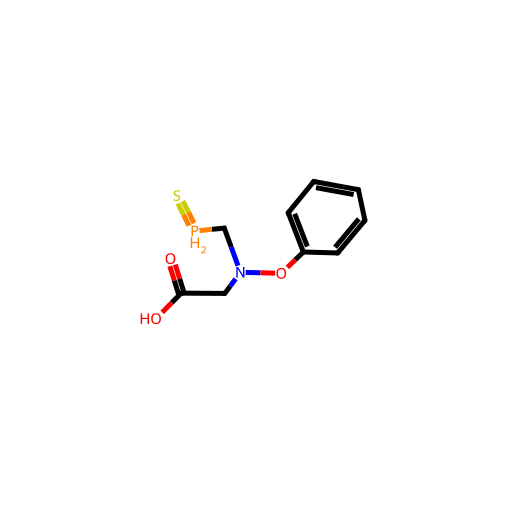 O=C(O)CN(C[PH2]=S)Oc1ccccc1